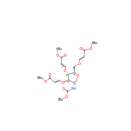 CC(C)(C)OC(=O)/C=C/OC[C@H]1OC[C@H](NC(=O)OC(C)(C)C)[C@@H](O/C=C/C(=O)OC(C)(C)C)[C@@H]1O/C=C/C(=O)OC(C)(C)C